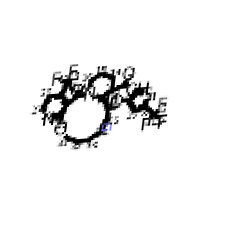 CC(=O)[C@]1(Oc2csc(C(F)(F)F)c2)CCCN2C(=O)c3c(C(F)(F)F)ccnc3OCCC/C=C\C[C@@H]21